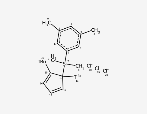 Cc1cc(C)cc([Si](C)(C)[C]2([Ti+3])C=CC=C2C(C)(C)C)c1.[Cl-].[Cl-].[Cl-]